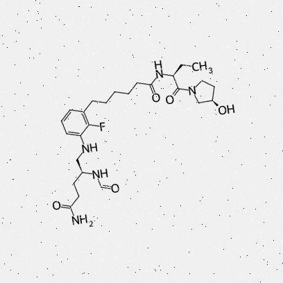 CC[C@H](NC(=O)CCCCCc1cccc(NC[C@H](CCC(N)=O)NC=O)c1F)C(=O)N1CC[C@@H](O)C1